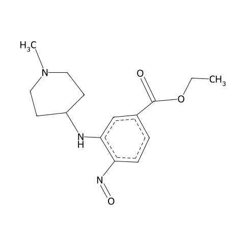 CCOC(=O)c1ccc(N=O)c(NC2CCN(C)CC2)c1